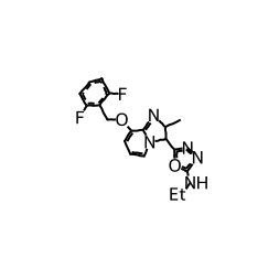 CCNc1nnc(C2C(C)N=C3C(OCc4c(F)cccc4F)=CC=CN32)o1